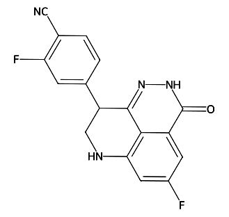 N#Cc1ccc(C2CNc3cc(F)cc4c(=O)[nH]nc2c34)cc1F